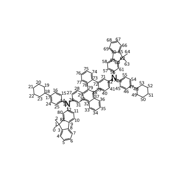 CC1(C)c2ccccc2-c2ccc(N(c3ccc(C4CCCCC4)cc3)c3ccc4c(c3)c3ccccc3c3c5ccc(N(c6ccc(C7CCCCC7)cc6)c6ccc7c(c6)C(C)(C)c6ccccc6-7)cc5c5ccccc5c43)cc21